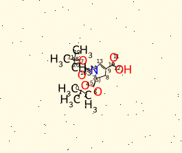 CC(C)(C)OC(=O)[C@@H]1CC(C(=O)O)=CN1C(=O)OC(C)(C)C